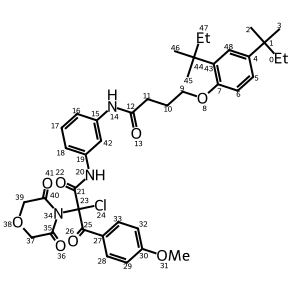 CCC(C)(C)c1ccc(OCCCC(=O)Nc2cccc(NC(=O)C(Cl)(C(=O)c3ccc(OC)cc3)N3C(=O)COCC3=O)c2)c(C(C)(C)CC)c1